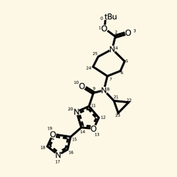 CC(C)(C)OC(=O)N1CCC(N(C(=O)c2coc(-c3cnco3)n2)C2CC2)CC1